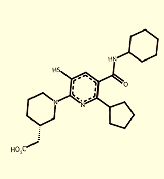 O=C(O)C[C@@H]1CCCN(c2nc(C3CCCC3)c(C(=O)NC3CCCCC3)cc2S)C1